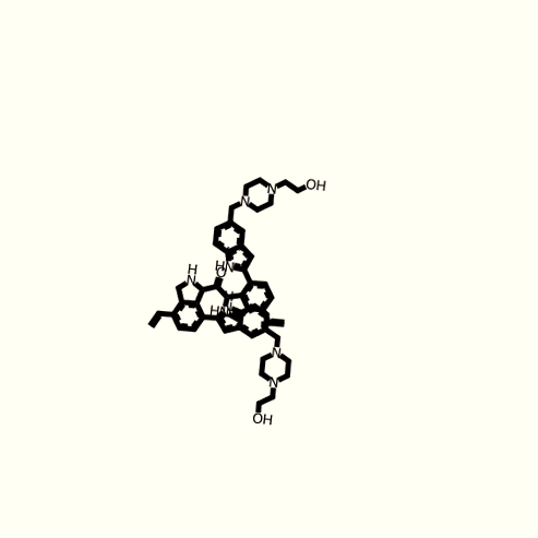 C=Cc1ccc(-c2cc3cc(CN4CCN(CCO)CC4)ccc3[nH]2)c2c1CNC2C(=O)C1NCc2c(C=C)ccc(-c3cc4cc(CN5CCN(CCO)CC5)ccc4[nH]3)c21